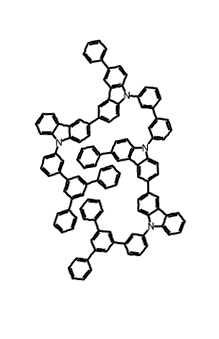 c1ccc(-c2cc(-c3ccccc3)cc(-c3cccc(-n4c5ccccc5c5cc(-c6ccc7c(c6)c6cc(-c8ccccc8)ccc6n7-c6cccc(-c7cccc(-n8c9ccc(-c%10ccccc%10)cc9c9cc(-c%10ccc%11c(c%10)c%10ccccc%10n%11-c%10cccc(-c%11cc(-c%12ccccc%12)cc(-c%12ccccc%12)c%11)c%10)ccc98)c7)c6)ccc54)c3)c2)cc1